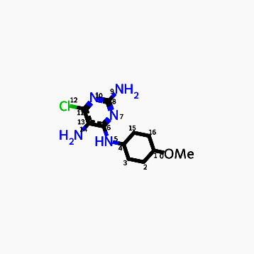 COC1CCC(Nc2nc(N)nc(Cl)c2N)CC1